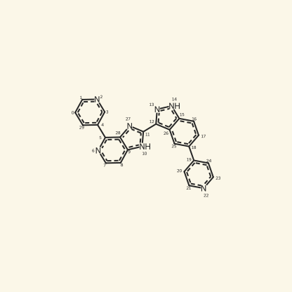 c1cncc(-c2nccc3[nH]c(-c4n[nH]c5ccc(-c6ccncc6)cc45)nc23)c1